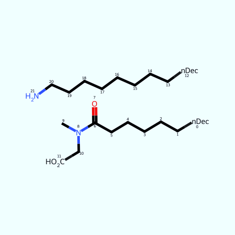 CCCCCCCCCCCCCCCC(=O)N(C)CC(=O)O.CCCCCCCCCCCCCCCCCCN